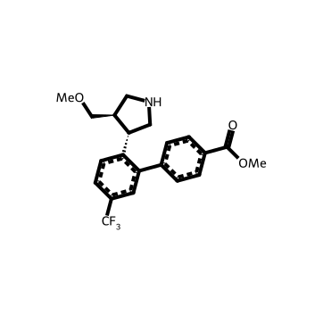 COC[C@H]1CNC[C@@H]1c1ccc(C(F)(F)F)cc1-c1ccc(C(=O)OC)cc1